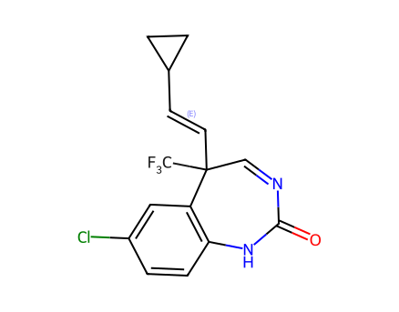 O=C1N=CC(/C=C/C2CC2)(C(F)(F)F)c2cc(Cl)ccc2N1